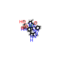 Cc1ccn2nc(C(C)Nc3ncnc4[nH]cc(-c5cc(F)cc(NS(=O)(=O)CCO)c5)c34)n(-c3ccccc3)c(=O)c12